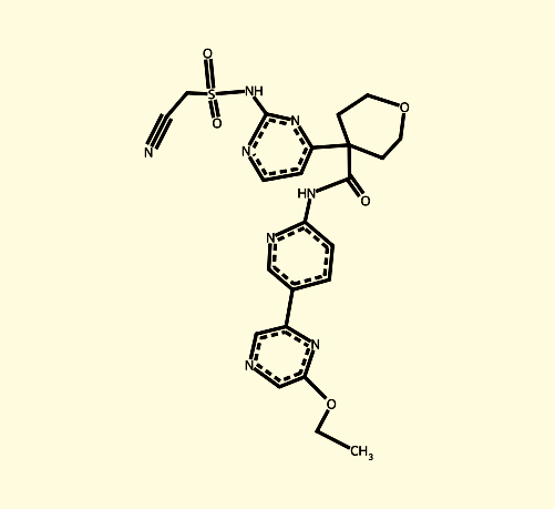 CCOc1cncc(-c2ccc(NC(=O)C3(c4ccnc(NS(=O)(=O)CC#N)n4)CCOCC3)nc2)n1